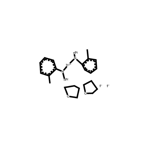 C1CCOC1.C1CCOC1.CCC[N]([Zr+2][N](CCC)c1ccccc1C)c1ccccc1C.[F-].[F-]